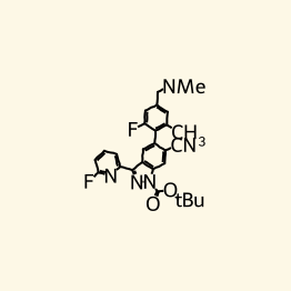 CNCc1cc(C)c(-c2cc3c(-c4cccc(F)n4)nn(C(=O)OC(C)(C)C)c3cc2C#N)c(F)c1